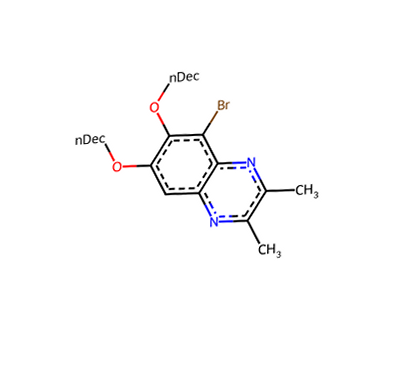 CCCCCCCCCCOc1cc2nc(C)c(C)nc2c(Br)c1OCCCCCCCCCC